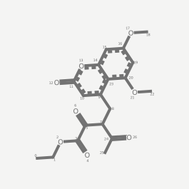 CCOC(=O)C(=O)C(Cc1cc(=O)oc2cc(OC)cc(OC)c12)C(C)=O